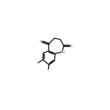 O=C1CCC(=O)c2cc(I)c(I)cc2N1